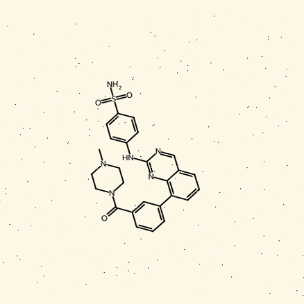 CN1CCN(C(=O)c2cccc(-c3cccc4cnc(Nc5ccc(S(N)(=O)=O)cc5)nc34)c2)CC1